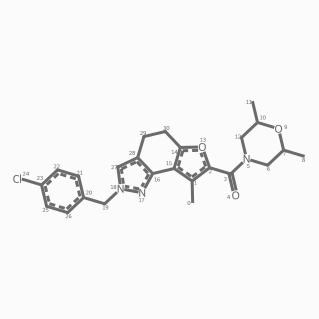 Cc1c(C(=O)N2CC(C)OC(C)C2)oc2c1-c1nn(Cc3ccc(Cl)cc3)cc1CC2